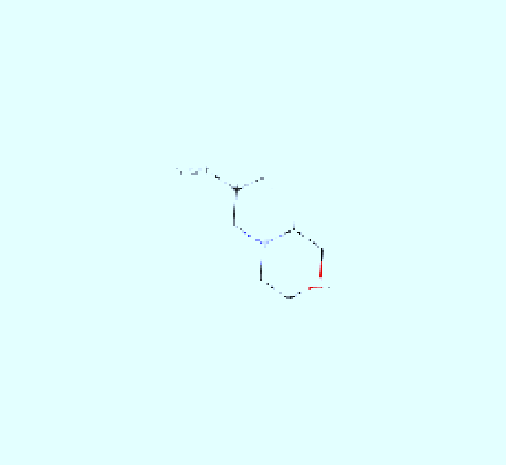 CCCCCC(CC)CN1CCOCC1